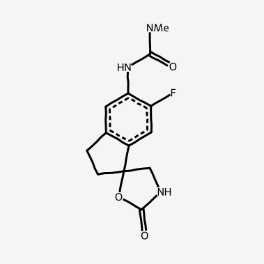 CNC(=O)Nc1cc2c(cc1F)C1(CC2)CNC(=O)O1